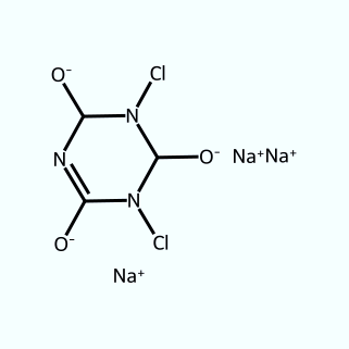 [Na+].[Na+].[Na+].[O-]C1=NC([O-])N(Cl)C([O-])N1Cl